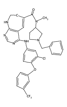 CN(C(=O)C1=Cc2c(ncnc2Nc2ccc(Oc3cccc(C(F)(F)F)c3)c(Cl)c2)NCC1)C1CCN(Cc2ccccc2)C1